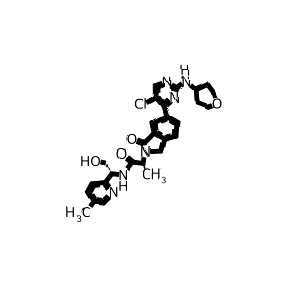 Cc1ccc([C@H](CO)NC(=O)[C@@H](C)N2Cc3ccc(-c4nc(NC5CCOCC5)ncc4Cl)cc3C2=O)nc1